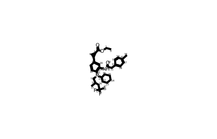 CCOC(=O)C1CC1c1ccc(N(CC(C)CC(F)(F)F)C2CCCCC2)c(NC(=O)Cc2ccc(C)cc2)c1